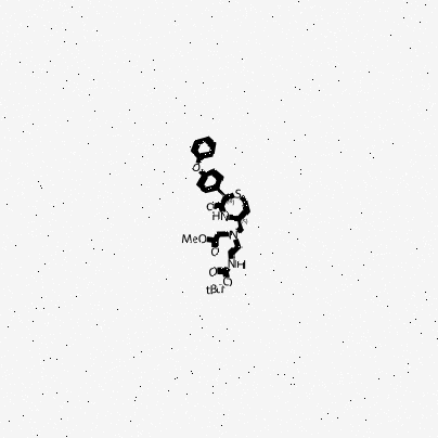 COC(=O)CN(CCNC(=O)OC(C)(C)C)C[C@@H]1CCS[C@H](c2ccc(Oc3ccccc3)cc2)C(=O)N1